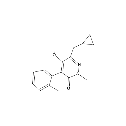 COc1c(CC2CC2)nn(C)c(=O)c1-c1ccccc1C